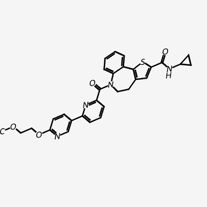 COCCOc1ccc(-c2cccc(C(=O)N3CCc4cc(C(=O)NC5CC5)sc4-c4ccccc43)n2)cn1